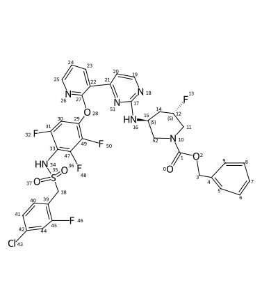 O=C(OCc1ccccc1)N1C[C@@H](F)C[C@H](Nc2nccc(-c3cccnc3Oc3cc(F)c(NS(=O)(=O)Cc4ccc(Cl)cc4F)c(F)c3F)n2)C1